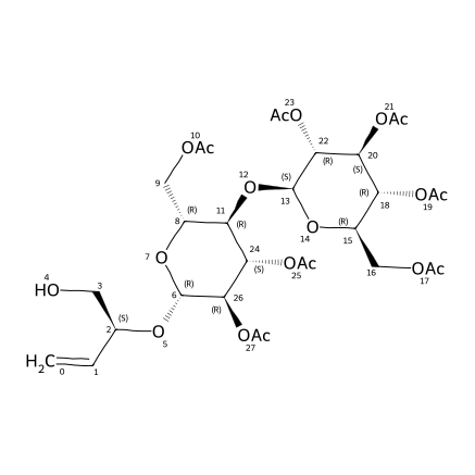 C=C[C@@H](CO)O[C@@H]1O[C@H](COC(C)=O)[C@@H](O[C@@H]2O[C@H](COC(C)=O)[C@@H](OC(C)=O)[C@H](OC(C)=O)[C@H]2OC(C)=O)[C@H](OC(C)=O)[C@H]1OC(C)=O